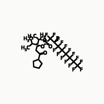 CC(C)S(CC(=O)C1CCCC1)(OS(=O)(=O)C(F)(F)C(F)(F)C(F)(F)C(F)(F)C(F)(F)C(F)(F)C(F)(F)C(F)(F)F)C(C)C